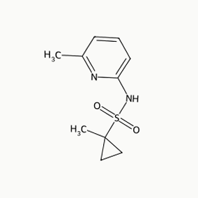 Cc1cccc(NS(=O)(=O)C2(C)CC2)n1